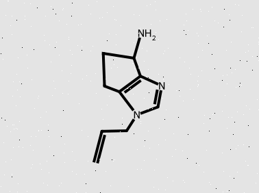 C=CCn1cnc2c1CCC2N